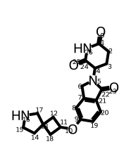 O=C1CCC(N2Cc3cc(OC4CC5(CCNC5)C4)ccc3C2=O)C(=O)N1